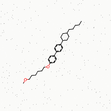 CCCCCC1CCC(c2ccc(-c3ccc(OCCCCCCOC)cc3)cc2)CC1